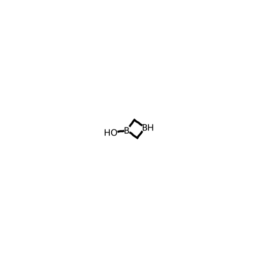 OB1CBC1